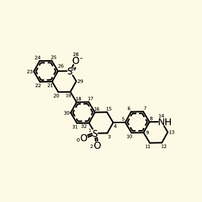 O=S1(=O)CC(c2ccc3c(c2)CCCN3)Cc2cc(C3Cc4ccccc4[S+]([O-])C3)ccc21